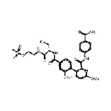 COc1ccc(-c2ccc(C(=O)N[C@@H](CC(C)C)C(=O)NCCOS(C)(=O)=O)cc2C(=O)O)c(C(=O)Nc2ccc(C(=N)N)cc2)n1